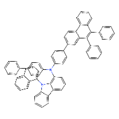 c1ccc(-c2ccc(N(c3ccc(-c4ccc5c(c4)c(-c4ccccc4)c(-c4ccccc4)c4ccccc45)cc3)c3cccc4c5ccccc5n(-c5cccc6ccccc56)c34)cc2)cc1